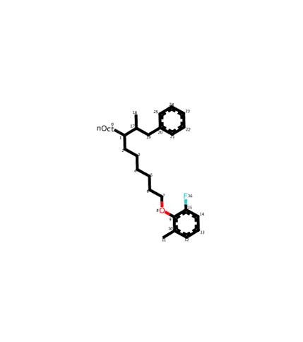 CCCCCCCCC(CCCCCCOc1c(C)cccc1F)C(C)Cc1ccccc1